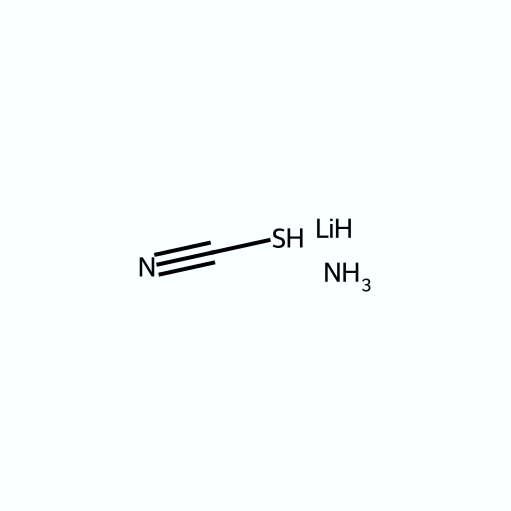 N.N#CS.[LiH]